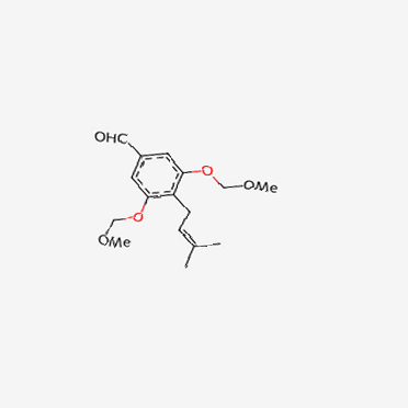 COCOc1cc(C=O)cc(OCOC)c1CC=C(C)C